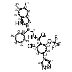 Cc1cc2nc([C@@H](CNC(=O)c3c(Cl)cc(-n4cnnc4)cc3OC(F)(F)F)c3ccccc3)[nH]c2cc1C